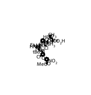 CCNc1nc(Cl)nc(NC(C)(C)C)n1.CCc1cccc(C)c1N(C(=O)CCl)C(C)COC.COC(=O)c1cc(Oc2ccc(Cl)cc2Cl)ccc1[N+](=O)[O-].CP(=O)(O)CCC(N)C(=O)O